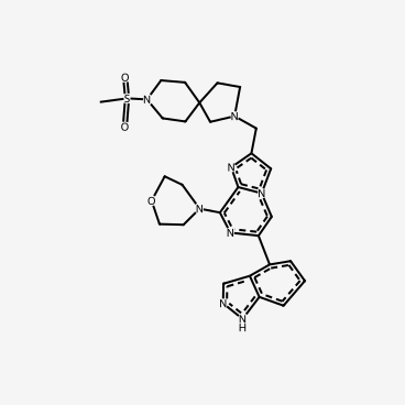 CS(=O)(=O)N1CCC2(CCN(Cc3cn4cc(-c5cccc6[nH]ncc56)nc(N5CCOCC5)c4n3)C2)CC1